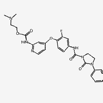 CN(C)CCOC(=O)Nc1cc(Oc2ccc(NC(=O)N3CCN(c4ccccc4)C3=O)cc2F)ccn1